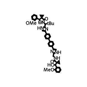 COc1ccccc1C(O)C1(C(=O)NCc2nc(-c3ccc(-c4ccc(-c5c[nH]c(C(NC(=O)C6(C(O)c7ccccc7OC)CC6)C(C)(C)C)n5)cc4)cc3)c[nH]2)CC1